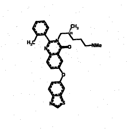 CNCCC[C@@H](C)Cn1c(-c2ccccc2C)nc2ccc(Oc3ccc4ncsc4c3)cc2c1=O